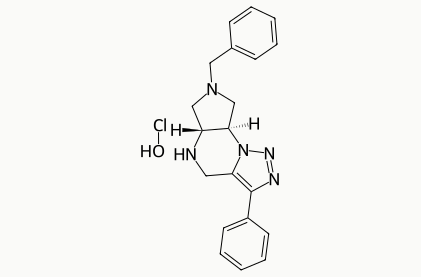 OCl.c1ccc(CN2C[C@@H]3[C@@H](C2)NCc2c(-c4ccccc4)nnn23)cc1